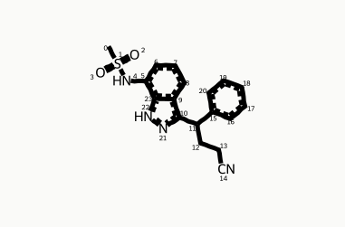 CS(=O)(=O)Nc1cccc2c(C(CCC#N)c3ccccc3)n[nH]c12